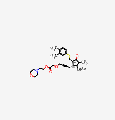 COC1C(C(F)(F)F)C(=O)[C@H](CSc2ccc(C)c(C)c2)[C@H]1CC#CCOCC(=O)OCCN1CCOCC1